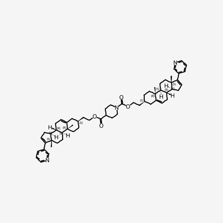 C[C@]12CC[C@H](CCOC(=O)C3CCN(C(=O)OCC[C@H]4CC[C@@]5(C)C(=CC[C@@H]6[C@@H]5CC[C@]5(C)C(c7cccnc7)=CC[C@@H]65)C4)CC3)CC1=CC[C@@H]1[C@@H]2CC[C@]2(C)C(c3cccnc3)=CC[C@@H]12